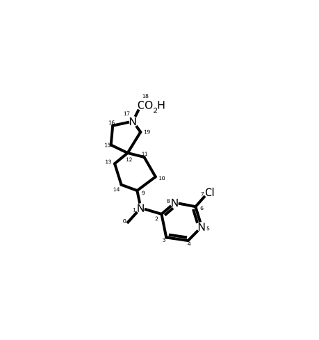 CN(c1ccnc(Cl)n1)C1CCC2(CC1)CCN(C(=O)O)C2